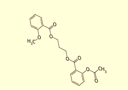 COc1ccccc1C(=O)OCCCOC(=O)c1ccccc1OC(C)=O